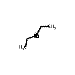 CCCCCCCC/C=C\CCCCCCCCN1CCCCCCN(CCCCCCCC/C=C\CCCCCCCC)C1=O